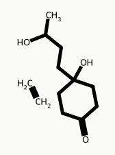 C=C.CC(O)CCC1(O)CCC(=O)CC1